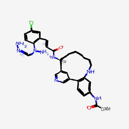 COC(=O)Nc1ccc2c(c1)NCCCCC[C@H](NC(=O)/C=C/c1cc(Cl)ccc1N(N)/C=N\N)c1cncc-2c1